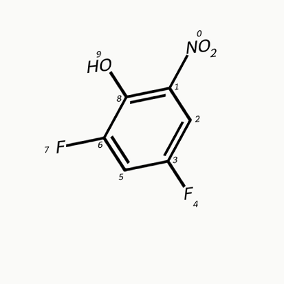 O=[N+]([O-])c1cc(F)cc(F)c1O